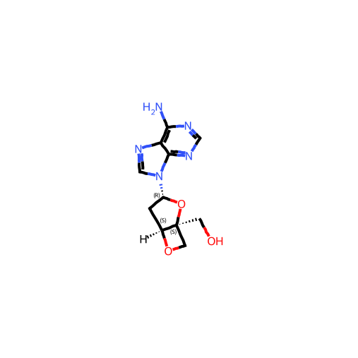 Nc1ncnc2c1ncn2[C@H]1C[C@@H]2OC[C@]2(CO)O1